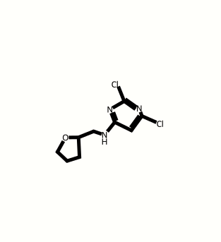 Clc1cc(NCC2CCCO2)nc(Cl)n1